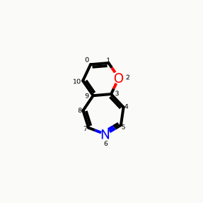 C1=COC2=CC=NC=CC2=C1